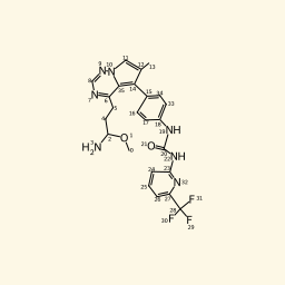 COC(N)CCc1ncnn2cc(C)c(-c3ccc(NC(=O)Nc4cccc(C(F)(F)F)n4)cc3)c12